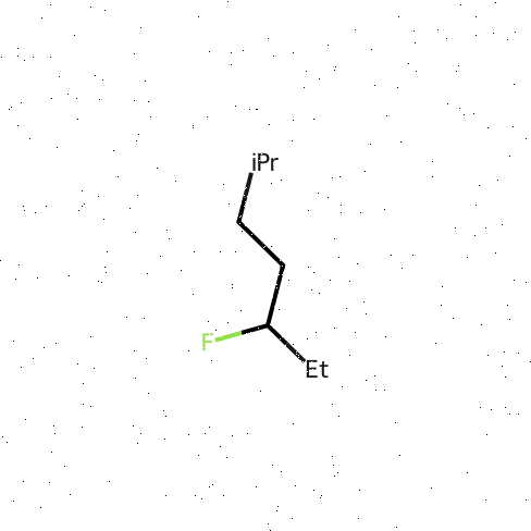 CCC(F)CCC(C)C